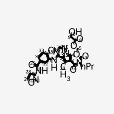 CCCN(C(=O)OCOC(=O)CO)C(=O)c1cn2ncnc(Nc3cc(C(=O)Nc4ccon4)ccc3C)c2c1C